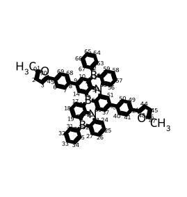 Cc1ccc(-c2ccc(-c3cc4c5c(c3)B3c6cccc7c6N(c6ccccc6B7c6ccccc6)c6cc(-c7ccc(-c8ccc(C)o8)cc7)cc(c63)N5c3ccccc3B4c3ccccc3)cc2)o1